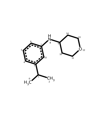 CC(C)c1cccc(NC2CCOCC2)c1